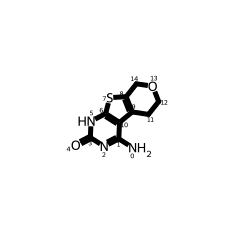 Nc1nc(=O)[nH]c2sc3c(c12)CCOC3